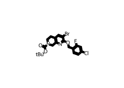 CC(C)(C)OC(=O)N1CCc2cc(Br)c(OCc3ccc(Cl)cc3F)nc2C1